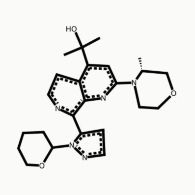 C[C@@H]1COCCN1c1cc(C(C)(C)O)c2ccnc(-c3ccnn3C3CCCCO3)c2n1